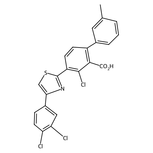 Cc1cccc(-c2ccc(-c3nc(-c4ccc(Cl)c(Cl)c4)cs3)c(Cl)c2C(=O)O)c1